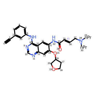 C#Cc1cccc(Nc2ncnc3cc(OC4CCOC4)c(NC(=O)/C=C/CN(CCC)CCC)cc23)c1